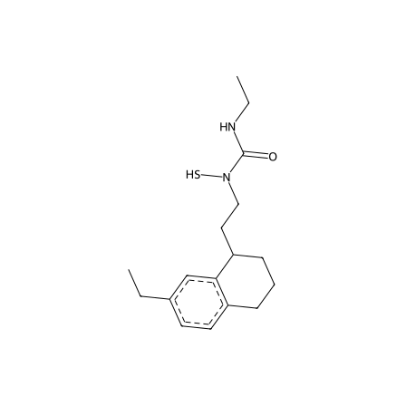 CCNC(=O)N(S)CCC1CCCc2ccc(CC)cc21